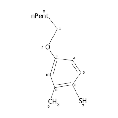 CCCCCCOc1ccc(S)c(C)c1